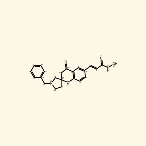 O=C(C=Cc1ccc2c(c1)C(=O)CC1(CCN(Cc3ccccc3)C1)O2)NO